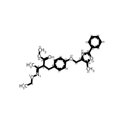 CCON=C(C)C(Cc1ccc(OCc2nc(-c3ccccc3)oc2C)cc1)C(=O)OC